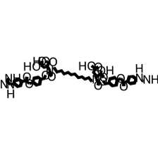 N=CNc1ccc(C(=O)Oc2ccc(COC(=O)N(CCCCCCCCCCCCN(C(=O)OCc3ccc(OC(=O)c4ccc(NC(=N)N)cc4)cc3)C(CC(=O)O)C(=O)O)C(CC(=O)O)C(=O)O)cc2)cc1